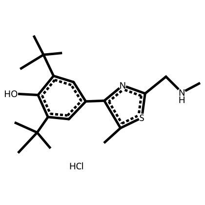 CNCc1nc(-c2cc(C(C)(C)C)c(O)c(C(C)(C)C)c2)c(C)s1.Cl